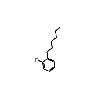 [CH2]CCCCCc1ccccc1F